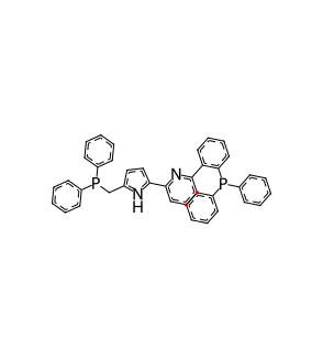 c1ccc(P(Cc2ccc(-c3cccc(-c4ccccc4P(c4ccccc4)c4ccccc4)n3)[nH]2)c2ccccc2)cc1